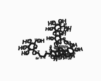 CC1=C(CC[C@H](C)CO[C@@H]2O[C@H](CO)[C@@H](O)[C@H](O)[C@H]2O)O[C@H]2C[C@H]3[C@@H]4CC[C@@H]5C[C@@H](O)[C@@H](O)C[C@]5(C)[C@H]4CC(O[C@@H]4O[C@H](CO)[C@H](O)[C@H](O[C@@H]5O[C@H](CO)[C@@H](O)[C@H](O)[C@H]5O)[C@H]4O)[C@]3(C)[C@@H]12